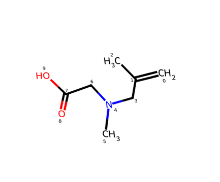 C=C(C)CN(C)CC(=O)O